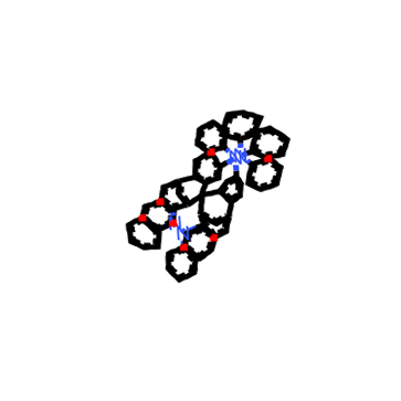 c1ccc(N(c2ccccc2)c2ccc3c(c2)C2(c4cc(N(c5ccccc5)c5ccccc5)ccc4-c4ccc(N(c5ccccc5)c5ccccc5)c2c4)c2cc-3ccc2N(c2ccccc2)c2ccccc2)cc1